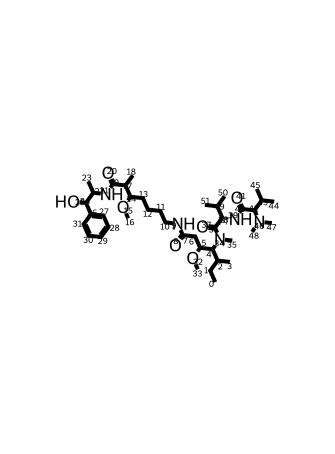 CCC(C)C(C(CC(=O)NCCCCC(OC)C(C)C(=O)NC(C)C(O)c1ccccc1)OC)N(C)C(=O)[C@@H](NC(=O)C(C(C)C)N(C)C)C(C)C